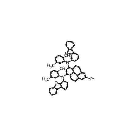 Cc1ccc(C)c(N(c2cc(N(c3cc(C)ccc3C)c3cccc4c3oc3ccccc34)c3ccc4cc(C(C)C)cc5ccc2c3c54)c2cccc3c2oc2ccccc23)c1